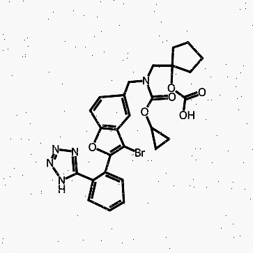 O=C(O)OC1(CN(Cc2ccc3oc(-c4ccccc4-c4nnn[nH]4)c(Br)c3c2)C(=O)OC2CC2)CCCC1